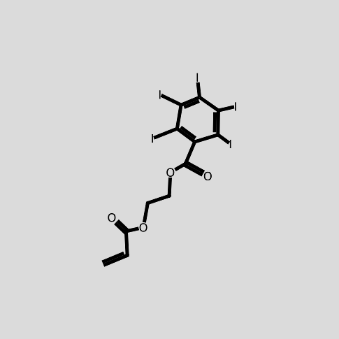 C=CC(=O)OCCOC(=O)c1c(I)c(I)c(I)c(I)c1I